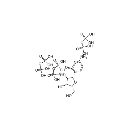 Nc1ccn([C@@H]2O[C@H](CO)[C@@H](O)[C@H]2O)c(=O)n1.O=P(O)(O)OP(=O)(O)O.O=P(O)(O)OP(=O)(O)O.O=P(O)(O)OP(=O)(O)O